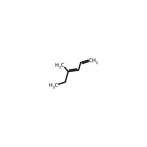 C=C/C=C(\C)[CH]C